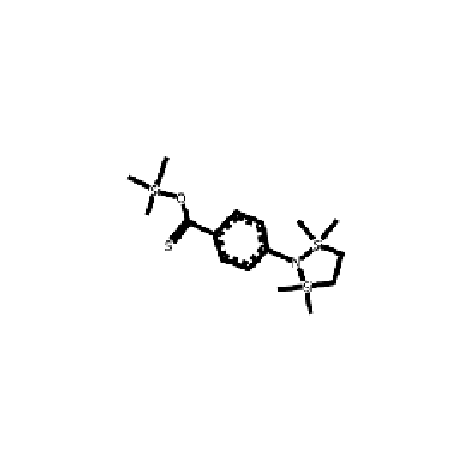 C[Si](C)(C)OC(=S)c1ccc(N2[Si](C)(C)CC[Si]2(C)C)cc1